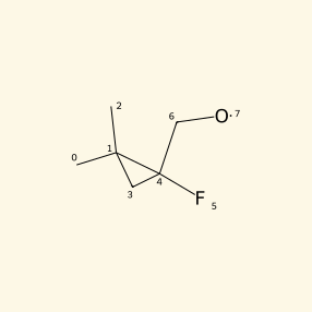 CC1(C)CC1(F)C[O]